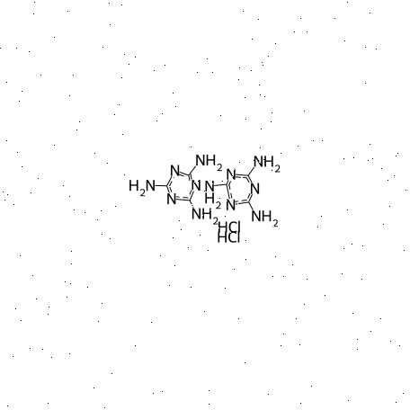 Cl.Cl.Nc1nc(N)nc(N)n1.Nc1nc(N)nc(N)n1